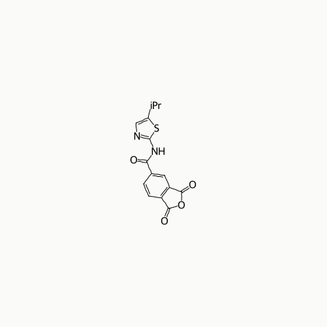 CC(C)c1cnc(NC(=O)c2ccc3c(c2)C(=O)OC3=O)s1